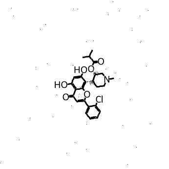 CC(C)C(=O)O[C@@H]1CN(C)CC[C@@H]1c1c(O)cc(O)c2c(=O)cc(-c3ccccc3Cl)oc12